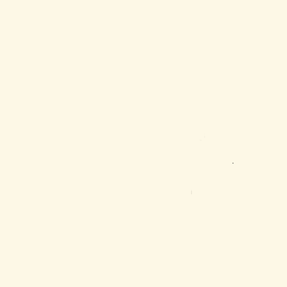 CC(OCCC1CCCCC1)(C(F)(F)F)C(F)(F)F